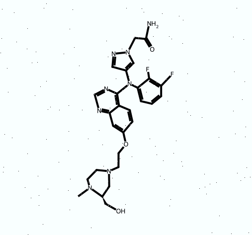 CN1CCN(CCOc2ccc3c(N(c4cnn(CC(N)=O)c4)c4cccc(F)c4F)ncnc3c2)C[C@H]1CO